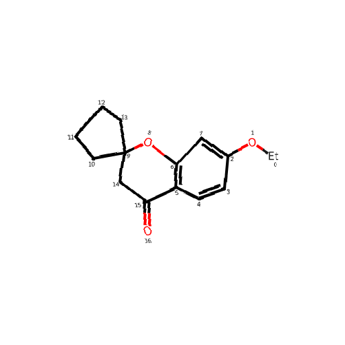 CCOc1ccc2c(c1)OC1(CCCC1)CC2=O